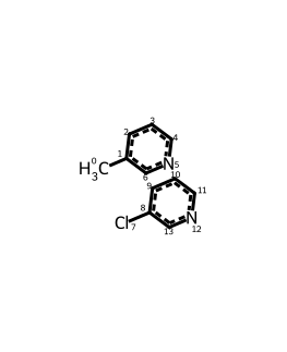 Cc1cccnc1.Clc1cccnc1